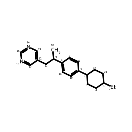 CCC1CCC(c2ccc(C(C)Cc3cncnc3)cc2)CC1